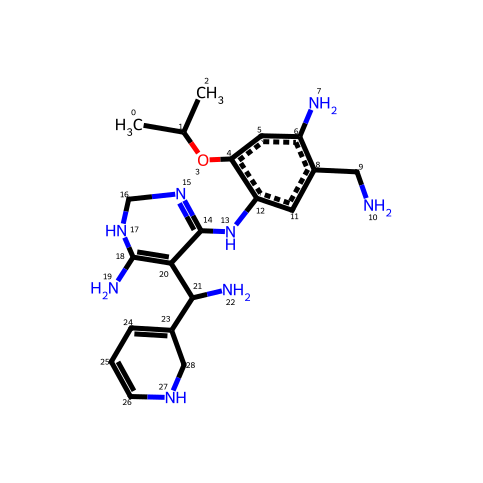 CC(C)Oc1cc(N)c(CN)cc1NC1=NCNC(N)=C1C(N)C1=CC=CNC1